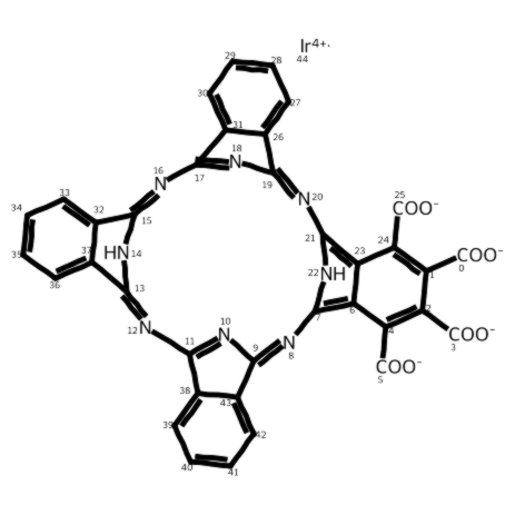 O=C([O-])c1c(C(=O)[O-])c(C(=O)[O-])c2c3nc4nc(nc5[nH]c(nc6nc(nc([nH]3)c2c1C(=O)[O-])-c1ccccc1-6)c1ccccc51)-c1ccccc1-4.[Ir+4]